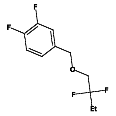 CCC(F)(F)COCc1ccc(F)c(F)c1